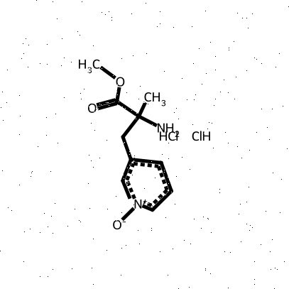 COC(=O)C(C)(N)Cc1ccc[n+]([O-])c1.Cl.Cl